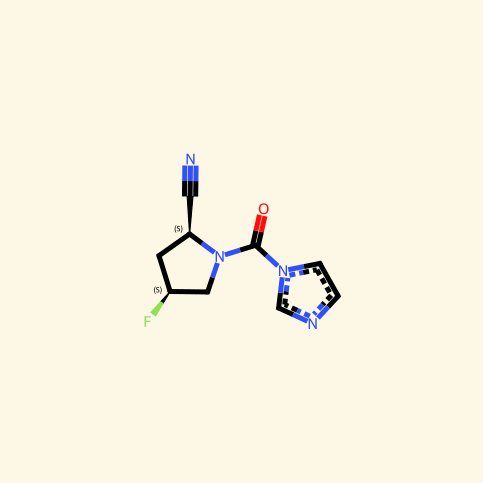 N#C[C@@H]1C[C@H](F)CN1C(=O)n1ccnc1